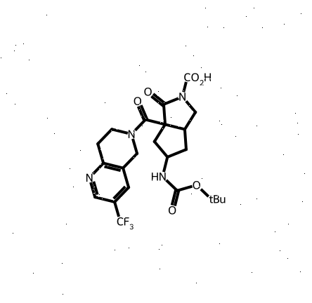 CC(C)(C)OC(=O)NC1CC2CN(C(=O)O)C(=O)C2(C(=O)N2CCc3ncc(C(F)(F)F)cc3C2)C1